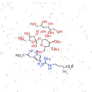 N=C(N)NCCCC(N)C(=O)O.N[C@@H](Cc1cnc[nH]1)C(=O)O.OC[C@@H](O)[C@@H](O)[C@H](O)[C@H](O)CO.OC[C@H]1O[C@@](CO)(O[C@H]2O[C@H](CO)[C@@H](O)[C@H](O)[C@H]2O)[C@@H](O)[C@@H]1O